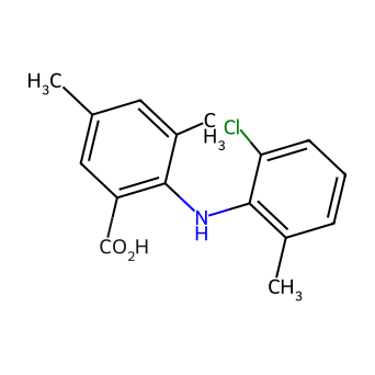 Cc1cc(C)c(Nc2c(C)cccc2Cl)c(C(=O)O)c1